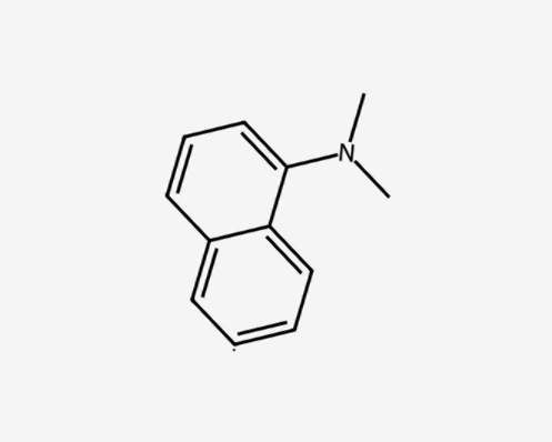 CN(C)c1cccc2c[c]ccc12